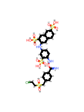 N=C(ONc1ccc(Nc2cc3ccc(S(=O)(=O)O)cc3cc2S(=O)(=O)O)cc1S(=O)(=O)O)c1ccc(CS(=O)(=O)CCCl)cc1